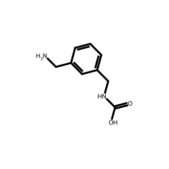 NCc1cccc(CNC(=O)O)c1